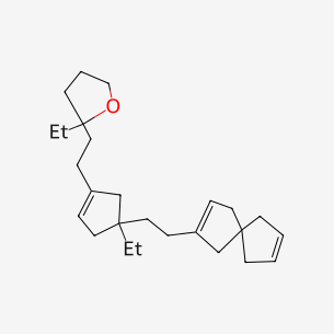 CCC1(CCC2=CCC3(CC=CC3)C2)CC=C(CCC2(CC)CCCO2)C1